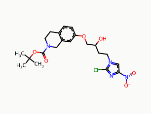 CC(C)(C)OC(=O)N1CCc2ccc(OCC(O)CCn3cc([N+](=O)[O-])nc3Cl)cc2C1